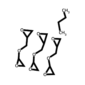 C1OC1COC1CO1.C1OC1COC1CO1.C1OC1COC1CO1.CCCC